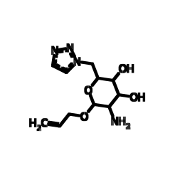 C=CCOC1OC(Cn2ccnn2)C(O)C(O)C1N